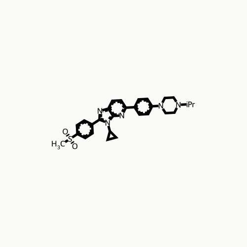 CC(C)N1CCN(c2ccc(-c3ccc4nc(-c5ccc(S(C)(=O)=O)cc5)n(C5CC5)c4n3)cc2)CC1